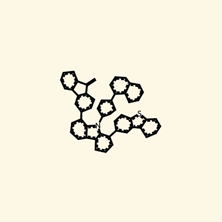 C=C1c2ccccc2-c2cc(-c3cccc4c5cccc(-c6ccc7sc8ccccc8c7c6)c5n(-c5ccc(-c6cccc7ccccc67)cc5)c34)ccc21